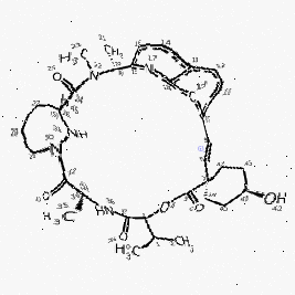 CC(C)C1OC(=O)[C@]2(/C=C/c3ccc4ccc(nc4c3)[C@@H](C)N(C)C(=O)[C@@H]3CCCN(N3)C(=O)[C@H](C)NC1=O)CC[C@H](O)CC2